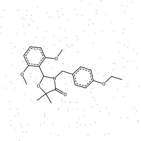 CCOc1ccc(CN2C(=O)C(C)(C)OC2c2c(OC)cccc2OC)cc1